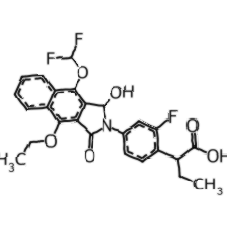 CCOc1c2c(c(OC(F)F)c3ccccc13)C(O)N(c1ccc(C(CC)C(=O)O)c(F)c1)C2=O